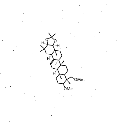 COC[C@@]1(C)C2CC[C@]3(C)[C@H](CC=C4[C@H]5CC(C)(C)[C@H]6OC(C)(C)O[C@H]6[C@]5(C)CC[C@]43C)[C@@]2(C)CC[C@@H]1OC